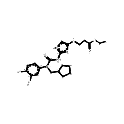 CCOC(=O)CCSc1cnc(NC(=O)N(CC2CCCC2)c2ccc(F)c(F)c2)s1